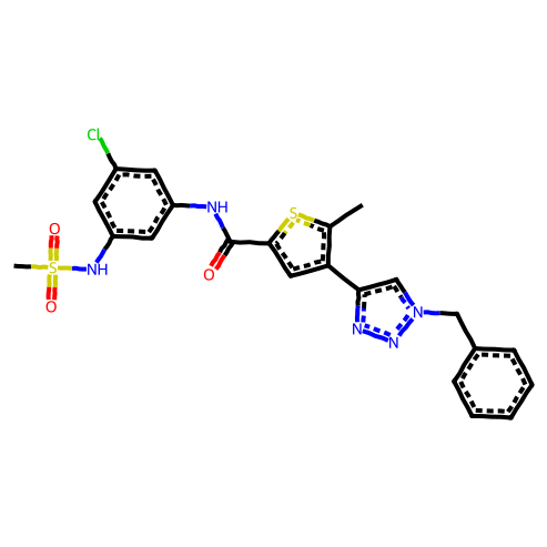 Cc1sc(C(=O)Nc2cc(Cl)cc(NS(C)(=O)=O)c2)cc1-c1cn(Cc2ccccc2)nn1